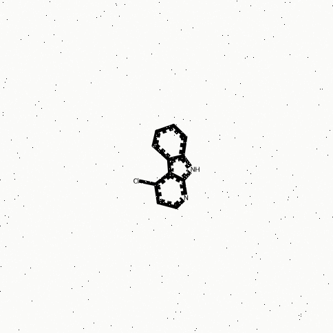 Clc1ccnc2[nH]c3ccccc3c12